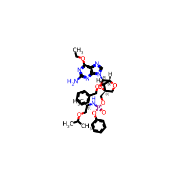 CCOc1nc(N)nc2c1ncn2[C@@H]1O[C@@]2(COP(=O)(N[C@H](C)COC(C)C)Oc3ccccc3)CO[C@@H]1[C@@H]2OCc1ccccc1